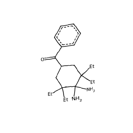 CCC1(CC)CC(C(=O)c2ccccc2)CC(CC)(CC)C1(N)N